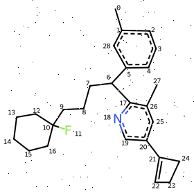 Cc1cccc(C(CCCC2(F)CCCCC2)c2ncc(C3=CCC3)cc2C)c1